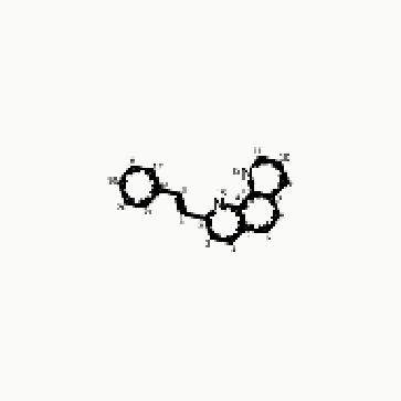 C(=Cc1ccc2ccc3cccnc3c2n1)c1ccccc1